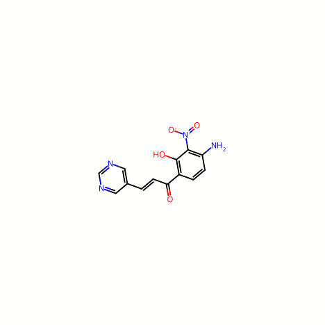 Nc1ccc(C(=O)C=Cc2cncnc2)c(O)c1[N+](=O)[O-]